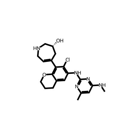 CNc1cc(C)nc(Nc2cc3c(c(C4=CCNC[C@H](O)C4)c2Cl)OCCC3)n1